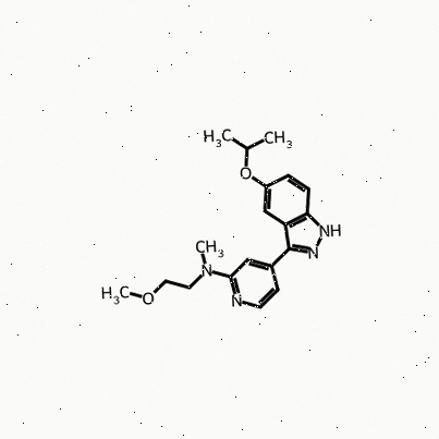 COCCN(C)c1cc(-c2n[nH]c3ccc(OC(C)C)cc23)ccn1